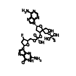 Nc1nc2c(ncn2[C@H]2CC(F)[C@@H](COP(=O)(O)O[C@H]3C[C@H](n4cnc5c(N)ncnc54)O[C@]3(CO)COP(O)(O)=S)O2)c(=O)[nH]1